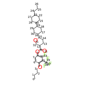 CCCCOc1ccc(OC(=O)C2CCC(C3CCC(C4CCC(CCC)CC4)CC3)OC2)c(F)c1C(F)(F)F